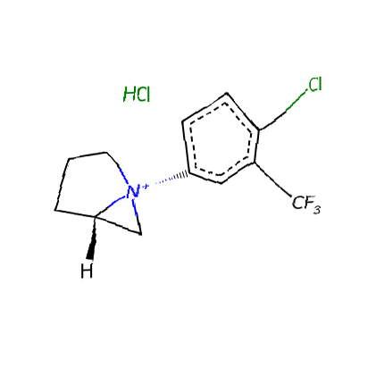 Cl.FC(F)(F)c1cc([N@@+]23CCC[C@H]2C3)ccc1Cl